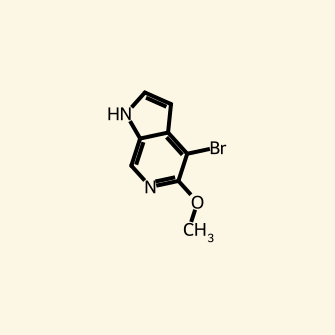 COc1ncc2[nH]ccc2c1Br